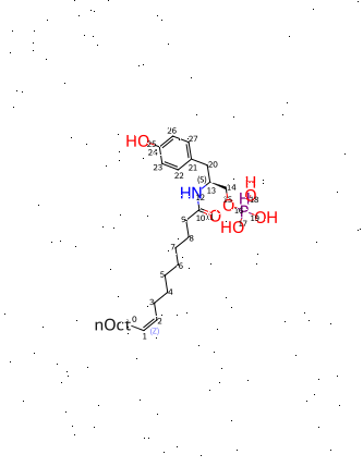 CCCCCCCC/C=C\CCCCCCCC(=O)N[C@H](CO[PH](O)(O)O)Cc1ccc(O)cc1